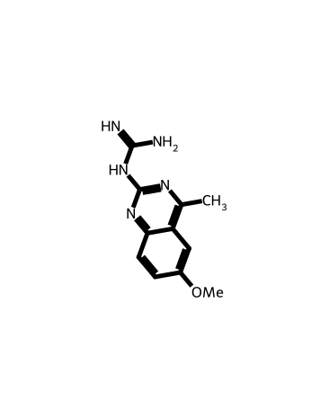 COc1ccc2nc(NC(=N)N)nc(C)c2c1